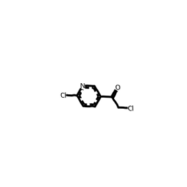 O=C(CCl)c1ccc(Cl)nc1